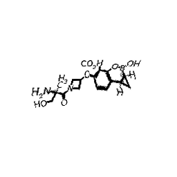 C[C@@](N)(CO)C(=O)N1CC(Oc2ccc3c(c2C(=O)O)OB(O)[C@H]2C[C@@H]32)C1